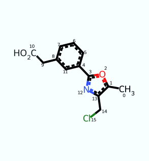 Cc1oc(-c2cccc(CC(=O)O)c2)nc1CCl